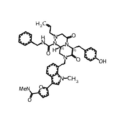 C=CCN1CC(=O)N2[C@@H](Cc3ccc(O)cc3)C(=O)N(Cc3cccc4c(-c5ccc(C(=O)NC)o5)cn(C)c34)C[C@@H]2N1C(=O)NCc1ccccc1